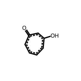 O=c1ccccc(O)c1